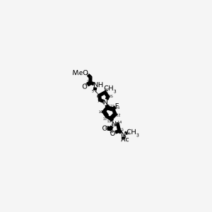 COCC(=O)NC[C@H]1CN(c2ccc(N3CC(N(C)C(C)=O)OC3=O)cc2F)C[C@@H]1C